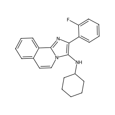 Fc1ccccc1-c1nc2c3ccccc3ccn2c1NC1CCCCC1